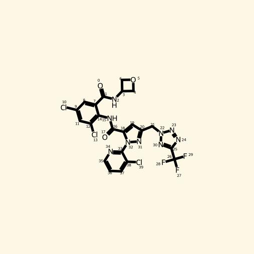 O=C(NC1COC1)c1cc(Cl)cc(Cl)c1NC(=O)c1cc(Cn2nnc(C(F)(F)F)n2)nn1-c1ncccc1Cl